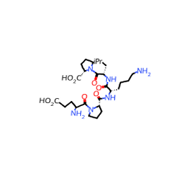 CC(C)C[C@H](NC(=O)[C@H](CCCCN)NC(=O)[C@@H]1CCCN1C(=O)[C@@H](N)CCC(=O)O)C(=O)N1CCC[C@H]1C(=O)O